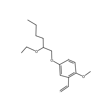 [CH]=Cc1cc(OCC(CCCC)OCC)[c]cc1OC